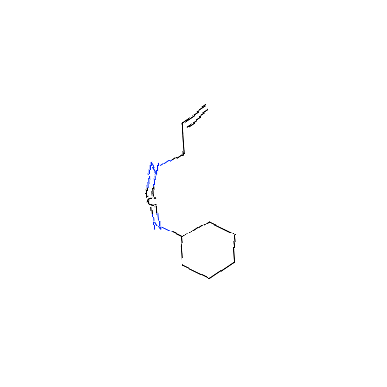 C=CCN=C=NC1CCCCC1